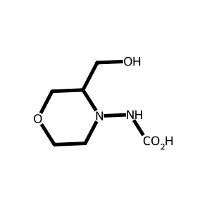 O=C(O)NN1CCOCC1CO